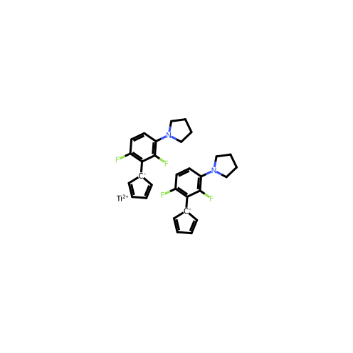 Fc1ccc(N2CCCC2)c(F)c1-[c-]1cccc1.Fc1ccc(N2CCCC2)c(F)c1-[c-]1cccc1.[Ti+2]